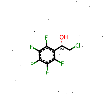 O[C@H](CCl)c1c(F)c(F)c(F)c(F)c1F